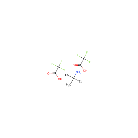 CCC(C)(N)CC.O=C(O)C(F)(F)F.O=C(O)C(F)(F)F